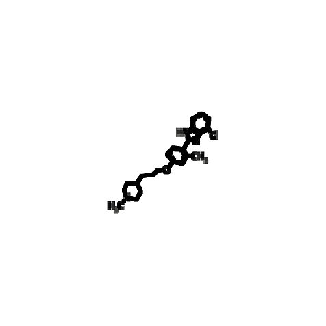 Cc1cc(OCCCC2CCN(C)CC2)ccc1-c1nc2c(Cl)cccc2[nH]1